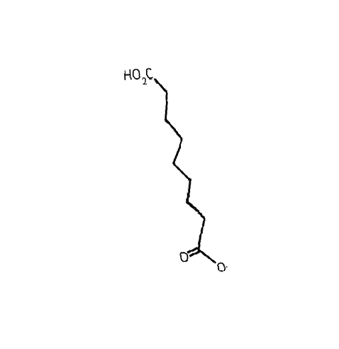 [O]C(=O)CCCCCCCC(=O)O